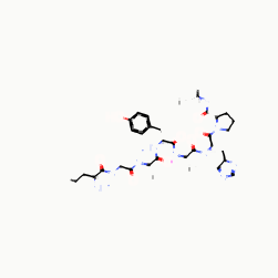 CC(C)[C@H](NC(=O)[C@@H]1CCCN1C(=O)[C@H](CC1C=NC=N1)NC(=O)[C@@H](NC(=O)[C@H](Cc1ccc(O)cc1)NC(=O)[C@@H](NC(=O)CNC(=O)[C@@H](N)CCC(=O)O)C(C)C)C(C)C)C(=O)O